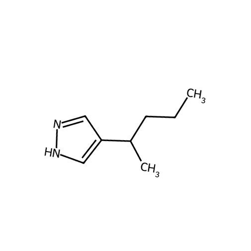 CCCC(C)c1cn[nH]c1